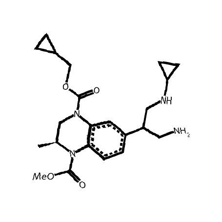 COC(=O)N1c2ccc(C(CN)CNC3CC3)cc2N(C(=O)OCC2CC2)C[C@@H]1C